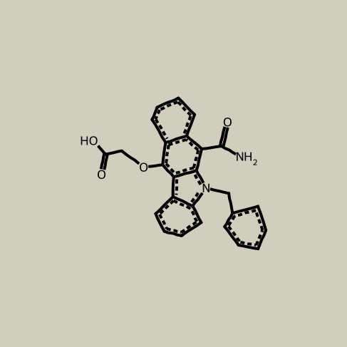 NC(=O)c1c2ccccc2c(OCC(=O)O)c2c3ccccc3n(Cc3ccccc3)c12